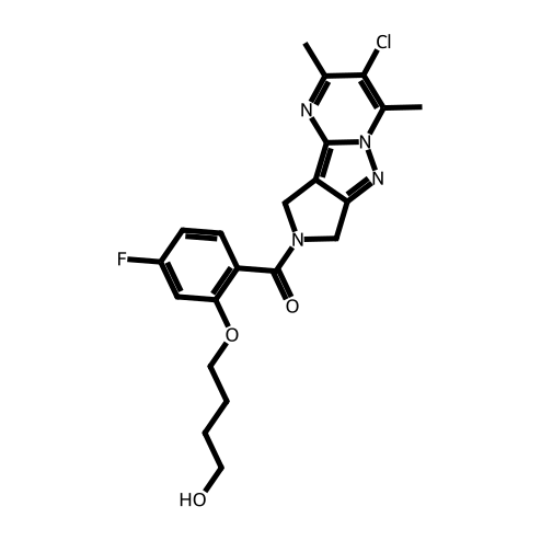 Cc1nc2c3c(nn2c(C)c1Cl)CN(C(=O)c1ccc(F)cc1OCCCCO)C3